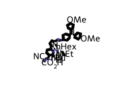 CCCCCCn1c(/C=C/c2ccc(N(c3ccc(OC)cc3)c3ccc(OC)cc3)cc2)ccc1C1=CC=C(/C=C(\C#N)C(=O)O)C(=N)/C1=N\NCC(CC)CCCC